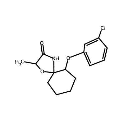 CC1OC2(CCCCC2Oc2cccc(Cl)c2)NC1=O